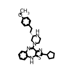 COc1ccc(CC[C@H]2CN(C3=Nc4ccccc4Nc4sc(C5CCCC5)nc43)CCN2)cc1